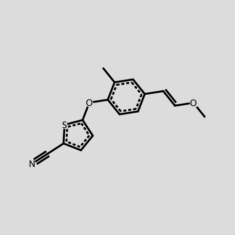 COC=Cc1ccc(Oc2ccc(C#N)s2)c(C)c1